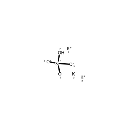 [K+].[K+].[K+].[O-][Si]([O-])([O-])O